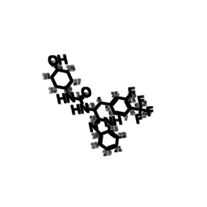 O=C(NC(Cc1ccc(C(F)(F)F)c(F)c1)c1nc2ccccc2[nH]1)N[C@H]1CC[C@H](O)CC1